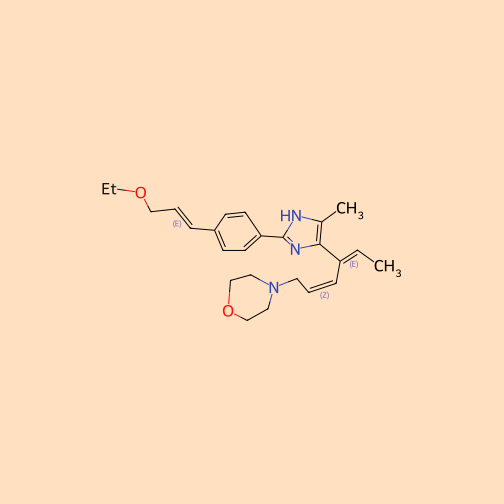 C/C=C(\C=C/CN1CCOCC1)c1nc(-c2ccc(/C=C/COCC)cc2)[nH]c1C